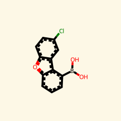 OB(O)c1cccc2oc3ccc(Cl)cc3c12